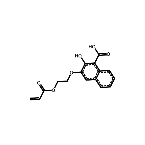 C=CC(=O)OCCOc1cc2ccccc2c(C(=O)O)c1O